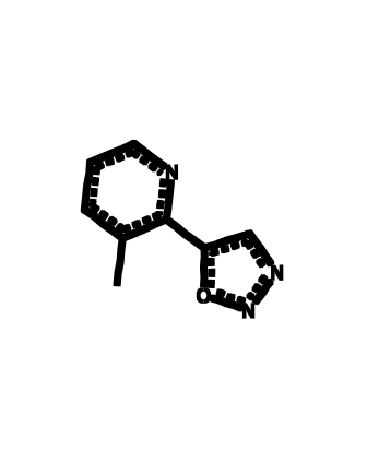 Cc1cccnc1-c1cnno1